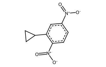 O=[N+]([O-])c1ccc([N+](=O)[O-])c(C2CC2)c1